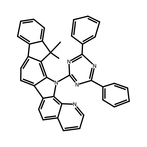 CC1(C)c2ccccc2-c2ccc3c4ccc5cccnc5c4n(-c4nc(-c5ccccc5)nc(-c5ccccc5)n4)c3c21